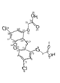 O=C(O)COc1cc(Cl)cc(Cl)c1Sc1c(Cl)cc(Cl)cc1OCC(=O)O